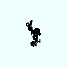 CC=CC(=O)N1CCC(c2nc(-c3ccc(Pc4ccccn4)cc3)n3c(NC)nccc23)C1